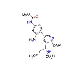 C=CCC(NC(=O)O)c1cc(-c2ccc(NC(=O)OC)cc2N)cnc1OC